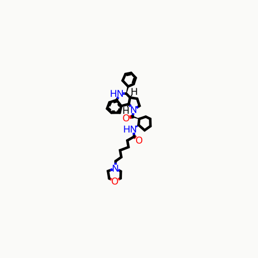 O=C(CCCCCN1CCOCC1)N[C@@H]1CCCC[C@@H]1C(=O)N1CC[C@@H]2[C@H](C3C=CC=CC3)Nc3ccccc3[C@@H]21